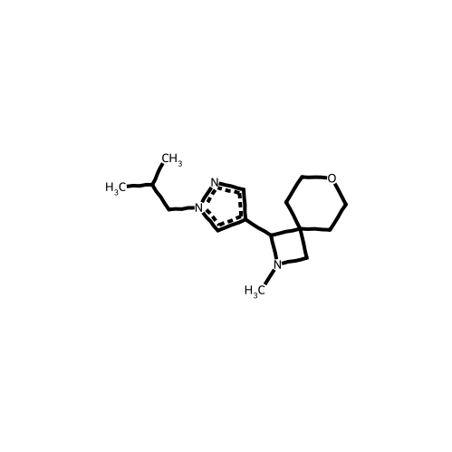 CC(C)Cn1cc(C2N(C)CC23CCOCC3)cn1